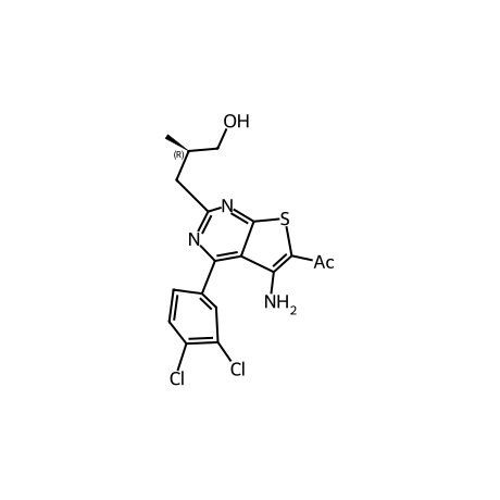 CC(=O)c1sc2nc(C[C@@H](C)CO)nc(-c3ccc(Cl)c(Cl)c3)c2c1N